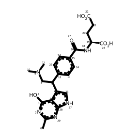 Cc1nc(O)c2c(C(CN(C)C)c3ccc(C(=O)N[C@@H](CCC(=O)O)C(=O)O)cc3)c[nH]c2n1